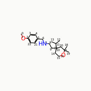 COc1ccc(CNCC[C@]2(C(C)C)CCOC(C)(C)C2)cc1